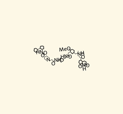 COc1ccc(CC(C)NC[C@@H](O)c2ccc(O)c3[nH]c(=O)ccc23)cc1CC(=O)NCc1ccc(CNC(=O)CCN2CCC(OC(=O)Nc3ccccc3-c3ccccc3)CC2)cc1